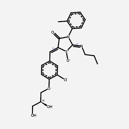 CCC/N=C1/N(c2ccccc2C)C(=O)/C(=C/c2ccc(OC[C@@H](O)CO)c(Cl)c2)[S+]1[O-]